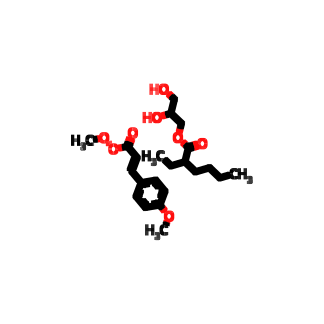 CCCCC(CC)C(=O)OCC(O)CO.COOC(=O)C=Cc1ccc(OC)cc1